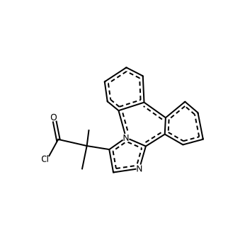 CC(C)(C(=O)Cl)c1cnc2c3ccccc3c3ccccc3n12